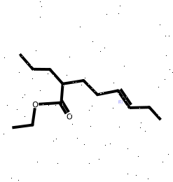 CC/C=C/CCC(CCC)C(=O)OCC